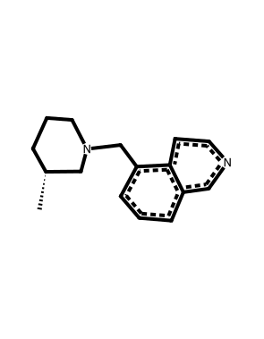 C[C@@H]1CCCN(Cc2cccc3cnccc23)C1